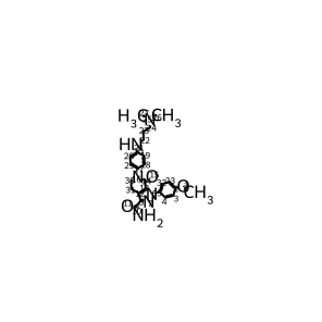 COc1ccc(-n2nc(C(N)=O)c3c2C(=O)N(c2ccc(NCCCN(C)C)cc2)CC3)cc1